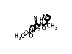 C=C(C(=O)Nc1sc2c(c1C#N)CCN(C(=O)OCC)C2)c1cccnc1